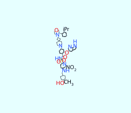 CC(C)c1ccccc1[C@@H]1COCCN1C1CC2(CCN(c3ccc(C(=O)NS(=O)(=O)c4ccc(NCC5CCC(C)(O)CC5)c([N+](=O)[O-])n4)c(Oc4cnc5[nH]ccc5c4)c3)CC2)C1